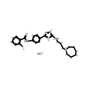 Cl.O=C(Nc1ccc(-c2nnc(NCCCN3CCCCCC3)o2)cc1)c1ccccc1F